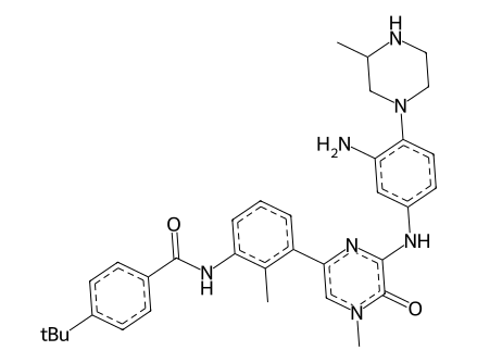 Cc1c(NC(=O)c2ccc(C(C)(C)C)cc2)cccc1-c1cn(C)c(=O)c(Nc2ccc(N3CCNC(C)C3)c(N)c2)n1